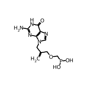 C=C(COCP(O)O)Cn1cnc2c(=O)[nH]c(N)nc21